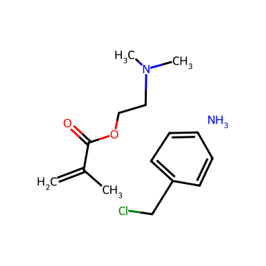 C=C(C)C(=O)OCCN(C)C.ClCc1ccccc1.N